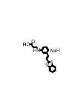 O=C(O)CCNc1cccc(C=Cc2nc3ccccc3s2)c1.[NaH]